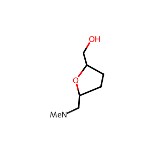 CNCC1CCC(CO)O1